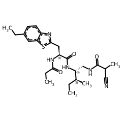 CCC(=O)N[C@@H](Cc1nc2ccc(CC)cc2s1)C(=O)N[C@H](CNC(=O)C(C)C#N)[C@@H](C)CC